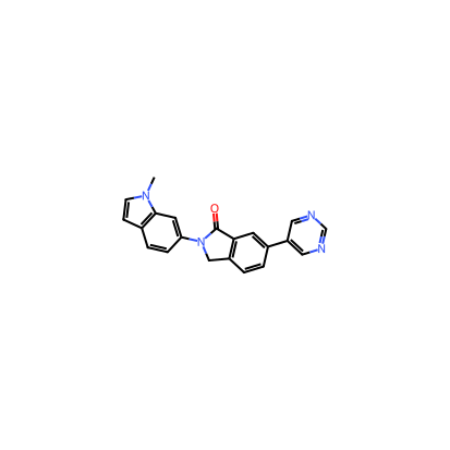 Cn1ccc2ccc(N3Cc4ccc(-c5cncnc5)cc4C3=O)cc21